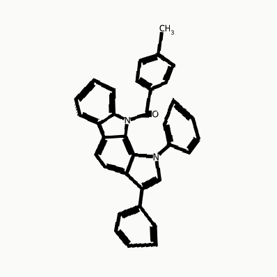 Cc1ccc(C(=O)n2c3ccccc3c3ccc4c(-c5ccccc5)cn(-c5ccccc5)c4c32)cc1